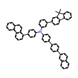 CC1(C)c2ccccc2-c2ccc(-c3cccc(N(c4ccc(-c5ccc(-c6ccc7ccccc7c6)cc5)cc4)c4ccc(-c5cccc6c5ccc5ccccc56)cc4)c3)cc21